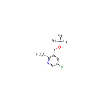 [2H]C([2H])([2H])OCc1cc(F)cnc1C(=O)O